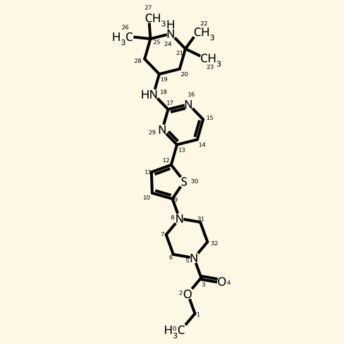 CCOC(=O)N1CCN(c2ccc(-c3ccnc(NC4CC(C)(C)NC(C)(C)C4)n3)s2)CC1